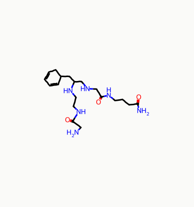 NCC(=O)NCCNC(CNCC(=O)NCCCC(N)=O)CC1C=CC=CC1